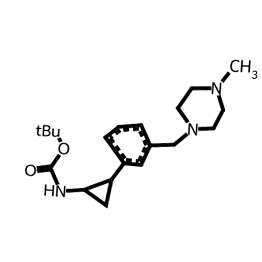 CN1CCN(Cc2cccc(C3CC3NC(=O)OC(C)(C)C)c2)CC1